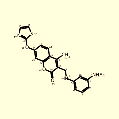 CC(=O)Nc1cccc(NCc2c(C)c3ccc(Oc4nccs4)cc3oc2=O)c1